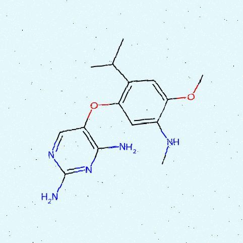 CNc1cc(Oc2cnc(N)nc2N)c(C(C)C)cc1OC